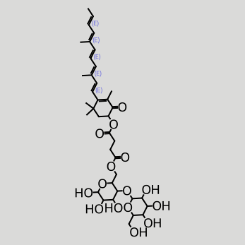 C/C=C/C=C(C)/C=C/C=C(C)/C=C/C1=C(C)C(=O)C(OC(=O)CCC(=O)OCC2OC(O)C(O)C(O)C2OC2OC(CO)C(O)C(O)C2O)CC1(C)C